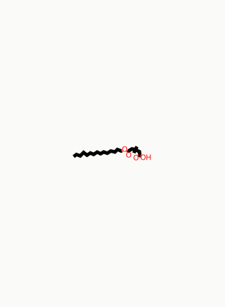 CCCCCCCCCCCCCCCOC(=O)CC(C)(C)CC(=O)O